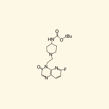 CC(C)(C)OC(=O)NC1CCN(CCn2c(=O)cnc3ccc(F)nc32)CC1